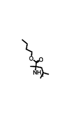 CCCCOC(=O)C(C)(N)CC(C)C